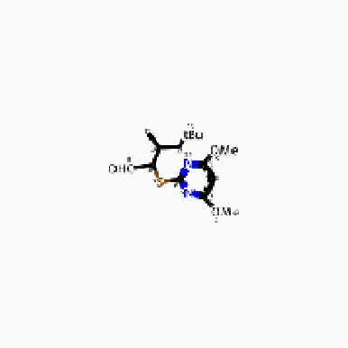 COc1cc(OC)nc(SC(C=O)C(C)CC(C)(C)C)n1